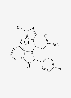 NC(=O)CC(N1c2c(C(=O)O)ccnc2NC1c1ccc(F)cc1)n1cnc(Cl)c1Cl